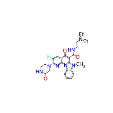 CCN(CC)CCNC(=O)c1c(=O)c2cc(F)c(N3CCNC(=O)C3)nc2n2c3ccccc3n(C)c12